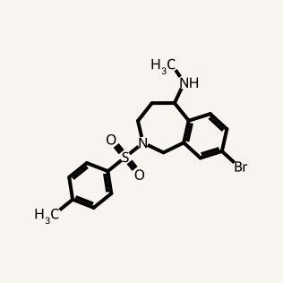 CNC1CCN(S(=O)(=O)c2ccc(C)cc2)Cc2cc(Br)ccc21